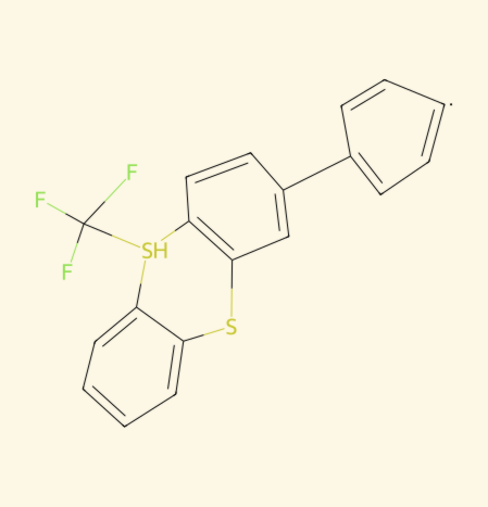 FC(F)(F)[SH]1c2ccccc2Sc2cc(-c3cc[c]cc3)ccc21